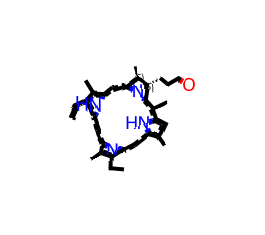 C=Cc1c(C)c2cc3nc(c(C)c4cc(C)c(cc5nc(cc1[nH]2)C(C)=C5CC)[nH]4)[C@@H](CCC=O)[C@@H]3C